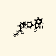 CC1(N2CCC(n3c(=O)[nH]c4ccccc43)CC2)CCN(C(=O)OCCF)C1